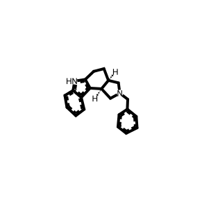 c1ccc(CN2C[C@@H]3CCc4[nH]c5ccccc5c4[C@@H]3C2)cc1